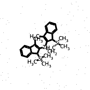 [CH2]=[Zr]([C]1=C(C)c2ccccc2C1[Si](C)(C)C)[C]1=C(C)c2ccccc2C1[Si](C)(C)C